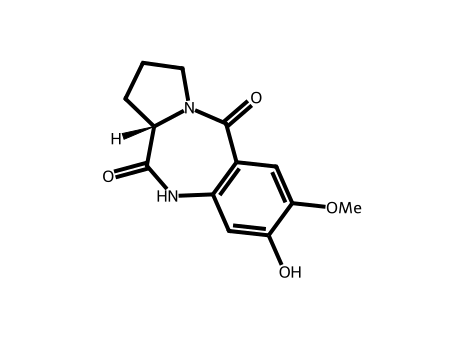 COc1cc2c(cc1O)NC(=O)[C@@H]1CCCN1C2=O